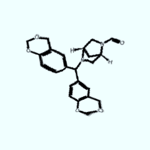 O=CN1C[C@@H]2C[C@H]1CN2C(c1ccc2c(c1)COCO2)c1ccc2c(c1)COCO2